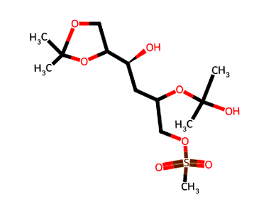 CC(C)(O)OC(COS(C)(=O)=O)C[C@H](O)C1COC(C)(C)O1